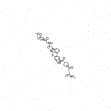 CC(C)(C)OC(=O)CNC(=O)CNC(=O)Cn1ncc2c(-c3cc4c(cnn4C(=O)C4CCN(C(=O)CCC(N)=O)CC4)cc3F)cccc21